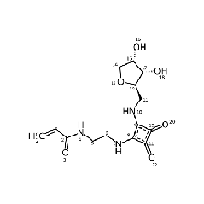 C=CC(=O)NCCNc1c(NC[C@H]2OC[C@H](O)[C@@H]2O)c(=O)c1=O